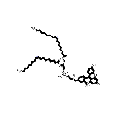 CCCCCCCC/C=C\CCCCCCCC(=O)OC[C@H](COP(=O)(O)OCCNCc1ccc(-c2c3ccc(=O)cc-3oc3cc(O)ccc23)c(C(=O)O)c1)OC(=O)CCCCCCC/C=C\CCCCCCCC